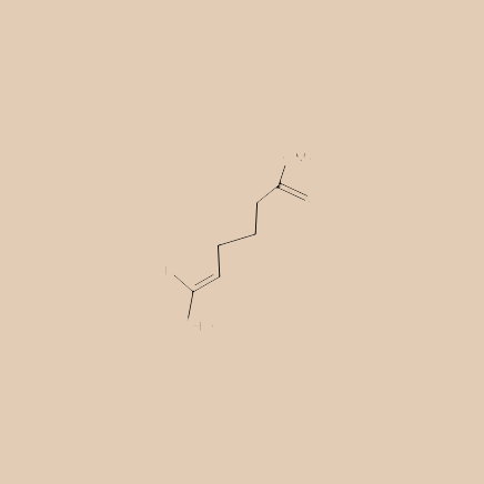 COC(=O)CCC/C=C(\F)C=O